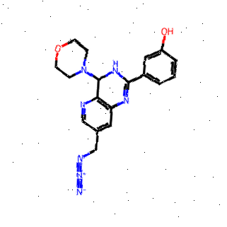 [N-]=[N+]=NCc1cnc2c(c1)N=C(c1cccc(O)c1)NC2N1CCOCC1